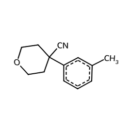 Cc1cccc(C2(C#N)CCOCC2)c1